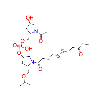 CCC(=O)CCSSCCCC(=O)N1C[C@H](OP(=O)(O)OC[C@@H]2C[C@@H](O)CN2C(C)=O)C[C@H]1COC(C)C